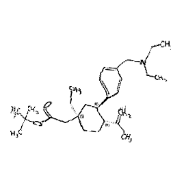 C=C(C)[C@@H]1CC[C@@](CO)(CC(=O)OC(C)(C)C)C[C@H]1c1ccc(CN(CC)CC)cc1